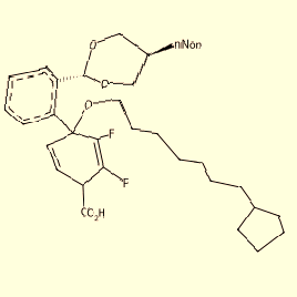 CCCCCCCCC[C@H]1CO[C@H](c2ccccc2C2(OCCCCCCCC3CCCC3)C=CC(C(=O)O)C(F)=C2F)OC1